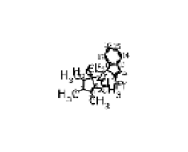 CC1=C(C)[C](C)([Zr]([Cl])([Cl])[CH]2C(C(C)C)=Cc3ccccc32)C(C)=C1C